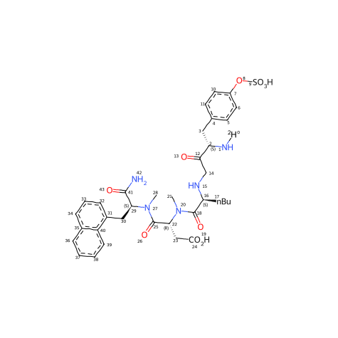 [2H]N[C@@H](Cc1ccc(OS(=O)(=O)O)cc1)C(=O)CN[C@@H](CCCC)C(=O)N(C)[C@H](CC(=O)O)C(=O)N(C)[C@@H](Cc1cccc2ccccc12)C(N)=O